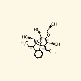 C#C/C=C1\C(=C/C)c2ccccc2C1(C)C(=C/C)/C(C#C)=C(/OCC#C)C(=C)C#C